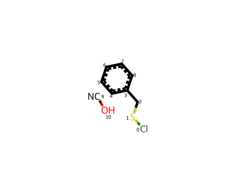 ClSCc1ccccc1.N#CO